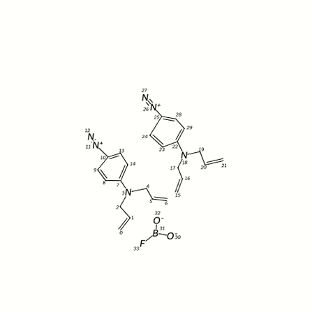 C=CCN(CC=C)c1ccc([N+]#N)cc1.C=CCN(CC=C)c1ccc([N+]#N)cc1.[O-]B([O-])F